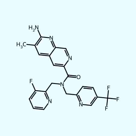 Cc1cc2cc(C(=O)N(Cc3ccc(C(F)(F)F)cn3)Cc3ncccc3F)ncc2nc1N